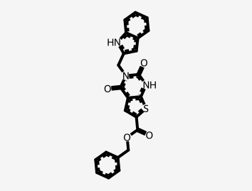 O=C(OCc1ccccc1)c1cc2c(=O)n(Cc3cc4ccccc4[nH]3)c(=O)[nH]c2s1